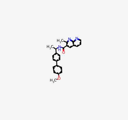 COc1ccc(-c2ccc(C(C)NC(=O)c3cc4cccnc4nc3C)cc2)cc1